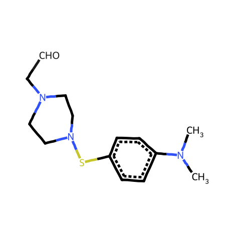 CN(C)c1ccc(SN2CCN(CC=O)CC2)cc1